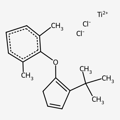 Cc1cccc(C)c1OC1=C(C(C)(C)C)C=CC1.[Cl-].[Cl-].[Ti+2]